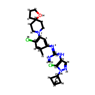 C=N/C(=N\c1cc(N2CCC3(CCCO3)CC2)c(Cl)cc1C)Nc1cnn(C23CC(C2)C3)c1Cl